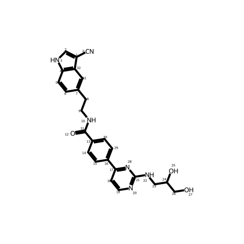 N#Cc1c[nH]c2ccc(CCNC(=O)c3ccc(-c4ccnc(NCC(O)CO)n4)cc3)cc12